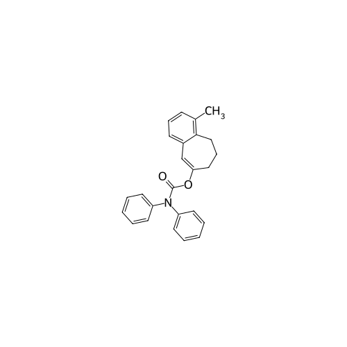 Cc1cccc2c1CCCC(OC(=O)N(c1ccccc1)c1ccccc1)=C2